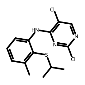 Cc1cccc(Nc2nc(Cl)ncc2Cl)c1SC(C)C